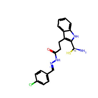 N[C@@H](S)c1[nH]c2ccccc2c1CCC(=O)N/N=C/c1ccc(Cl)cc1